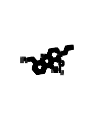 C=CCN1CCc2nc3c(CC(C)C)cccc3c(N)c2C1=O